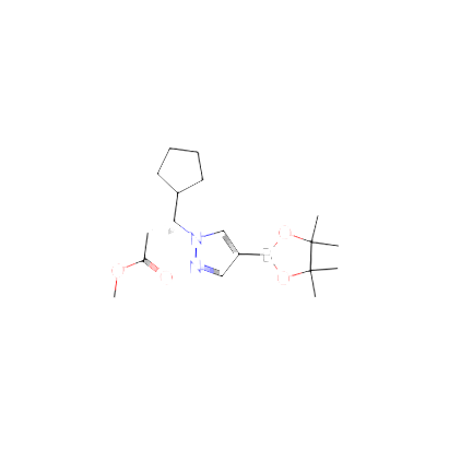 COC(=O)C[C@H](C1CCCC1)n1cc(B2OC(C)(C)C(C)(C)O2)cn1